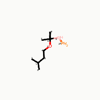 CC(C)CCOC(C)(C)BP